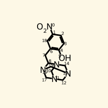 O=[N+]([O-])c1ccc(O)c(CC2N3CN4CN(C3)CN2C4)c1